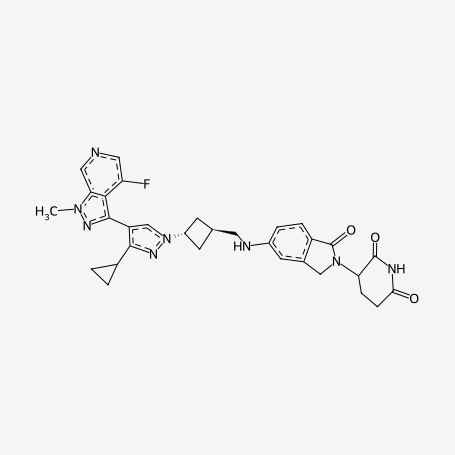 Cn1nc(-c2cn([C@H]3C[C@H](CNc4ccc5c(c4)CN(C4CCC(=O)NC4=O)C5=O)C3)nc2C2CC2)c2c(F)cncc21